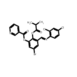 CC(C)C(=O)Oc1c(C=Nc2ccc(Cl)cc2Cl)cc(Br)cc1OC(=O)c1cccnc1